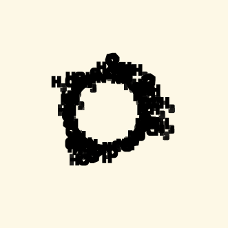 CCCC[C@H]1C(=O)N(C)[C@@H](CCCC)C(=O)N[C@@H](CC(C)C)C(=O)N2CCC[C@@H]2C(=O)NCC(=O)N[C@@H](Cc2ccc(O)cc2)C(=O)N(C)[C@@H](C)C(=O)N[C@@H](CC(N)=O)C(=O)N2CCC[C@H]2C(=O)N[C@@H](CN)C(=O)N[C@@H](CC(C)C)C(=O)C2N[C@@H](C[C@H]2O)C(=O)N[C@@H](Cc2c[nH]c3ccccc23)C(=O)N[C@@H](CCN)C(=O)N[C@@H](Cc2c[nH]c3ccccc23)C(=O)N1C